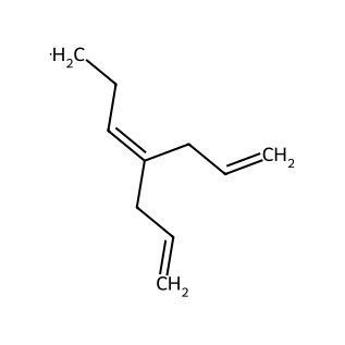 [CH2]CC=C(CC=C)CC=C